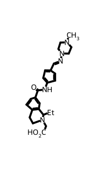 CCC1c2cc(C(=O)Nc3ccc(C=NN4CCN(C)CC4)cc3)ccc2CCN1CC(=O)O